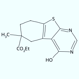 CCOC(=O)C1(C)CCc2sc3ncnc(O)c3c2C1